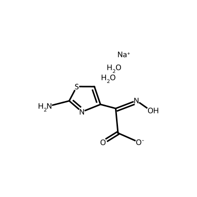 Nc1nc(/C(=N/O)C(=O)[O-])cs1.O.O.[Na+]